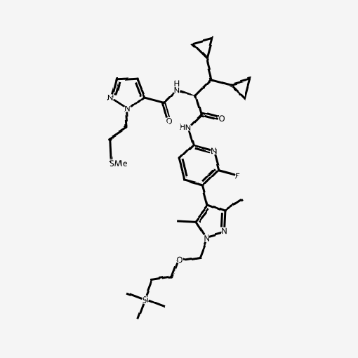 CSCCn1nccc1C(=O)N[C@H](C(=O)Nc1ccc(-c2c(C)nn(COCC[Si](C)(C)C)c2C)c(F)n1)C(C1CC1)C1CC1